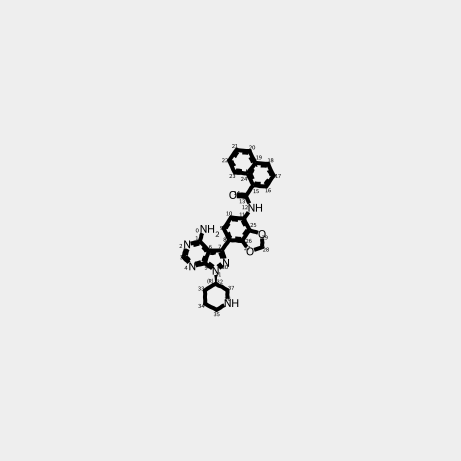 Nc1ncnc2c1c(-c1ccc(NC(=O)c3cccc4ccccc34)c3c1OCO3)nn2[C@@H]1CCCNC1